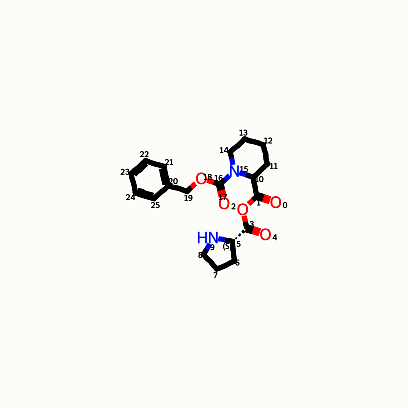 O=C(OC(=O)[C@@H]1CCCN1)C1CCCCN1C(=O)OCc1ccccc1